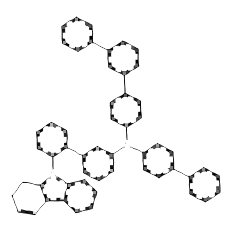 C1=Cc2c(n(-c3ccccc3-c3cccc(N(c4ccc(-c5ccccc5)cc4)c4ccc(-c5cccc(-c6ccccc6)c5)cc4)c3)c3ccccc23)CC1